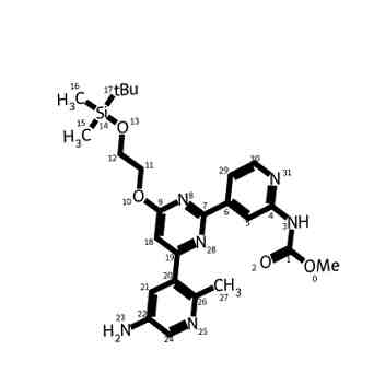 COC(=O)Nc1cc(-c2nc(OCCO[Si](C)(C)C(C)(C)C)cc(-c3cc(N)cnc3C)n2)ccn1